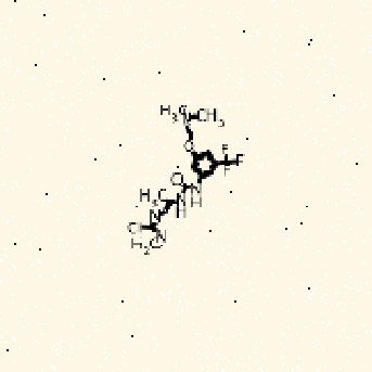 C=N/C(Cl)=N\C=C(/C)NC(=O)Nc1cc(OCCN(C)C)cc(C(F)(F)F)c1